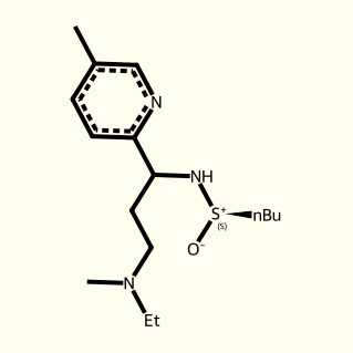 CCCC[S@@+]([O-])NC(CCN(C)CC)c1ccc(C)cn1